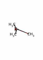 CCCCCCCCCCCCCCCCCCc1n(CCCCCC)cc[n+]1CCCCCC